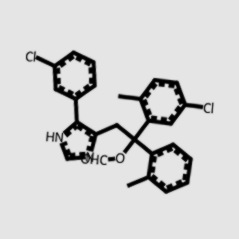 Cc1ccccc1C(Cc1nc[nH]c1-c1cccc(Cl)c1)(OC=O)c1cc(Cl)ccc1C